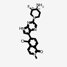 Cn1ccc2c(Cl)c(-c3c[nH]c4nc(N5CC[C@H](N)[C@H](F)C5)cnc34)ccc2c1=O